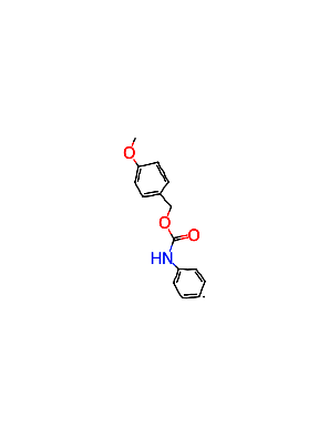 COc1ccc(COC(=O)Nc2cc[c]cc2)cc1